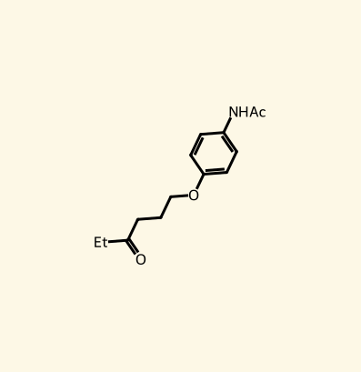 CCC(=O)CCCOc1ccc(NC(C)=O)cc1